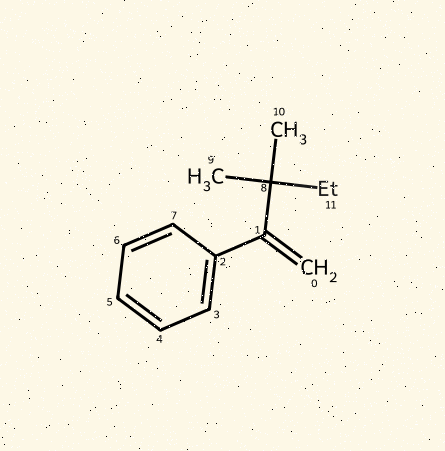 C=C(c1ccccc1)C(C)(C)CC